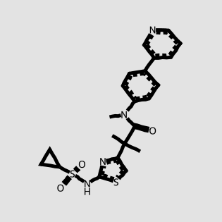 CN(C(=O)C(C)(C)c1csc(NS(=O)(=O)C2CC2)n1)c1ccc(-c2cccnc2)cc1